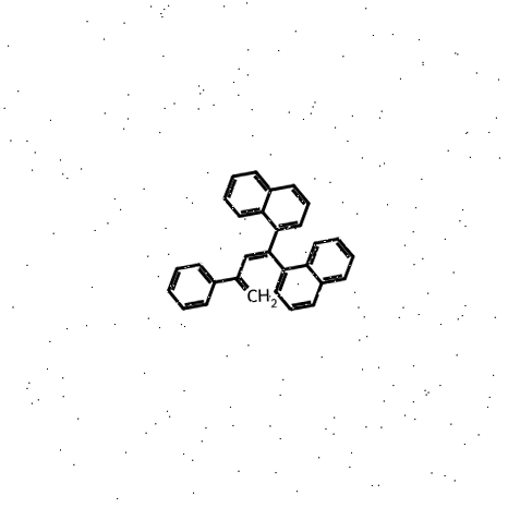 C=C(C=C(c1cccc2ccccc12)c1cccc2ccccc12)c1ccccc1